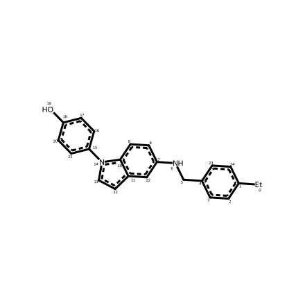 CCc1ccc(CNc2ccc3c(ccn3-c3ccc(O)cc3)c2)cc1